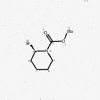 CC(C)(C)OC(=O)N1CCCC[C@H]1Br